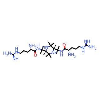 CC(C)(NC(=O)[C@@H](N)CCCNC(=N)N)[C@]1(C)NC(C)(C)[C@](C)(C(C)(C)NC(=O)[C@@H](N)CCCNC(=N)N)NC1(C)C